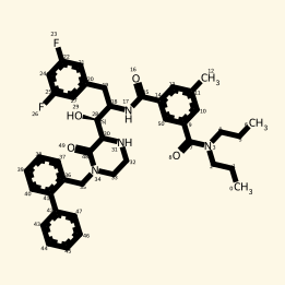 CCCN(CCC)C(=O)c1cc(C)cc(C(=O)NC(Cc2cc(F)cc(F)c2)[C@H](O)C2NCCN(Cc3ccccc3-c3ccccc3)C2=O)c1